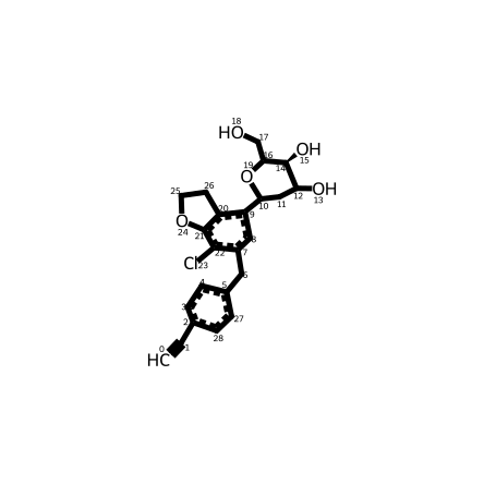 C#Cc1ccc(Cc2cc(C3CC(O)[C@H](O)C(CO)O3)c3c(c2Cl)OCC3)cc1